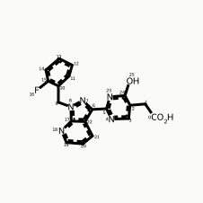 O=C(O)Cc1cnc(-c2nn(Cc3ccccc3F)c3ncccc23)nc1O